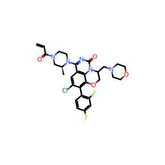 C=CC(=O)N1CCN(c2nc(=O)n3c4c(c(-c5ccc(F)cc5F)c(Cl)cc24)OCC3CN2CCOCC2)[C@@H](C)C1